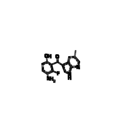 Cc1cnc2[nH]cc(C(=O)c3c(O)ccc(N)c3F)c2c1